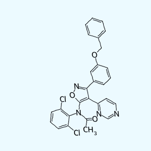 CC(=O)N(c1onc(-c2cccc(OCc3ccccc3)c2)c1-c1ccncn1)c1c(Cl)cccc1Cl